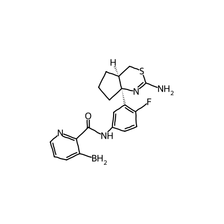 Bc1cccnc1C(=O)Nc1ccc(F)c([C@]23CCC[C@H]2CSC(N)=N3)c1